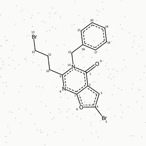 O=c1c2cc(Br)oc2nc(CCCBr)n1Cc1ccccc1